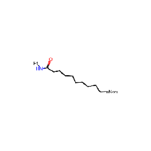 CCCCCCCCCCCCCCCCCCC(=O)NCC